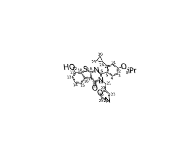 CC(C)Oc1ccc(-c2nc3sc4c(O)cccc4c3c(=O)n2Cc2cnco2)c(C2CC2)c1